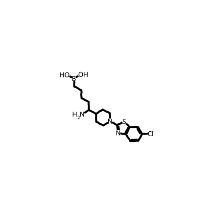 NC(CCCCB(O)O)C1CCN(c2nc3ccc(Cl)cc3s2)CC1